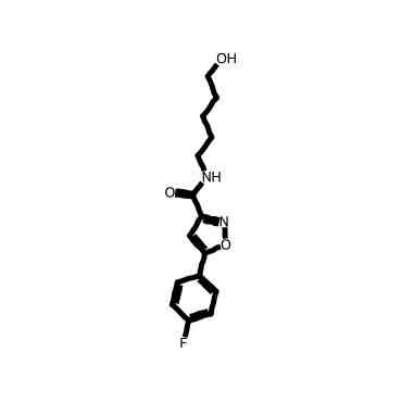 O=C(NCCCCCO)c1cc(-c2ccc(F)cc2)on1